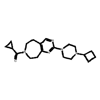 O=C(C1CC1)N1CCc2cnc(N3CCN(C4CCC4)CC3)nc2CC1